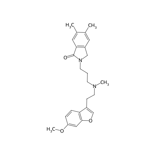 COc1ccc2c(CCN(C)CCCN3Cc4cc(C)c(C)cc4C3=O)coc2c1